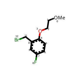 COCCOc1ccc(F)cc1CBr